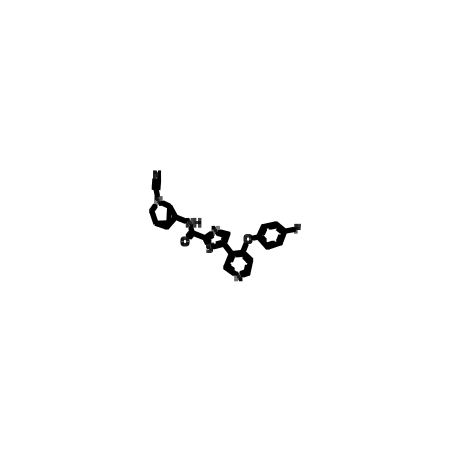 N#CN1CC2CC(NC(=O)c3ncc(-c4cnccc4Oc4ccc(F)cc4)s3)C1C2